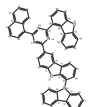 c1ccc2c(-c3nc(-c4ccc5oc6c(-n7c8ccccc8c8ccccc87)cccc6c5c4)nc(-c4cccc5oc6ccccc6c45)n3)cccc2c1